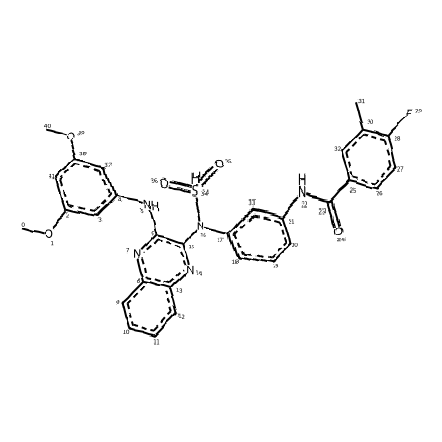 COc1cc(Nc2nc3ccccc3nc2N(c2cccc(NC(=O)c3ccc(F)c(C)c3)c2)[SH](=O)=O)cc(OC)c1